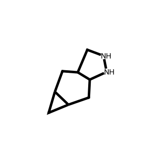 C1C2CC3CNNC3CC12